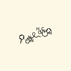 CN1C(=O)[C@@H](CCCC(=O)c2nc3n(n2)[C@@H](c2ccccc2F)CC3)CCc2ncccc21